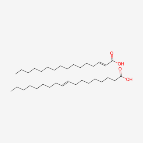 CCCCCCCCC=CCCCCCCCC(=O)O.CCCCCCCCCCCCCC=CC(=O)O